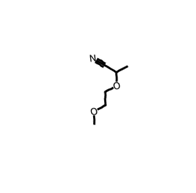 COCCOC(C)C#N